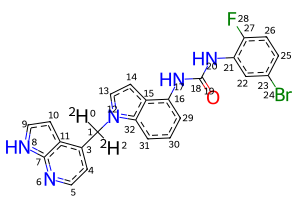 [2H]C([2H])(c1ccnc2[nH]ccc12)n1ccc2c(NC(=O)Nc3cc(Br)ccc3F)cccc21